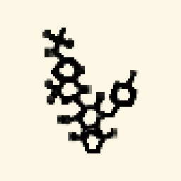 CS(=O)(=O)Nc1cnc2c(c1)S(=O)(=O)N=C(C1=C(O)C3C([C@@H]4CC[C@H]3C4)N(Cc3ccc(F)cc3)C1=O)N2